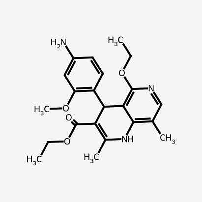 CCOC(=O)C1=C(C)Nc2c(C)cnc(OCC)c2C1c1ccc(N)cc1OC